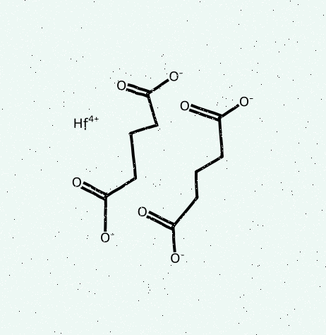 O=C([O-])CCCC(=O)[O-].O=C([O-])CCCC(=O)[O-].[Hf+4]